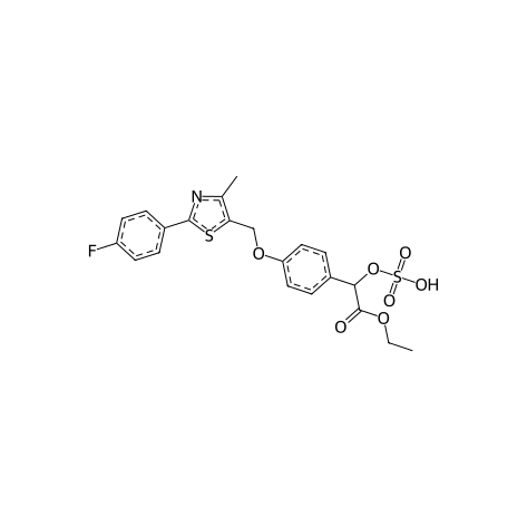 CCOC(=O)C(OS(=O)(=O)O)c1ccc(OCc2sc(-c3ccc(F)cc3)nc2C)cc1